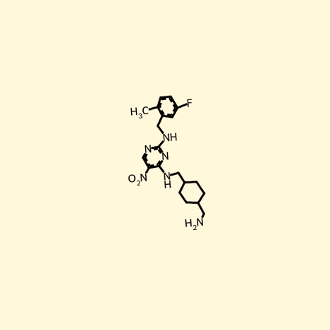 Cc1ccc(F)cc1CNc1ncc([N+](=O)[O-])c(NCC2CCC(CN)CC2)n1